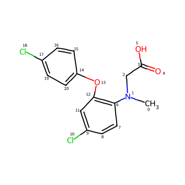 CN(CC(=O)O)c1ccc(Cl)cc1Oc1ccc(Cl)cc1